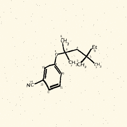 CCC(C)(C)CC(C)(C)Oc1cccc(C#N)c1